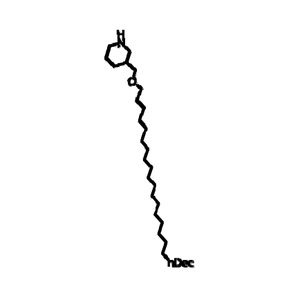 CCCCCCCCCCCCCCCCCCCCCCCCCCCCOCC1CCCNC1